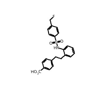 O=C(O)c1ccc(CCc2ccccc2NS(=O)(=O)c2ccc(CF)cc2)cc1